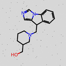 OCC1CCCN(CC2c3ccccc3-n3cncc32)C1